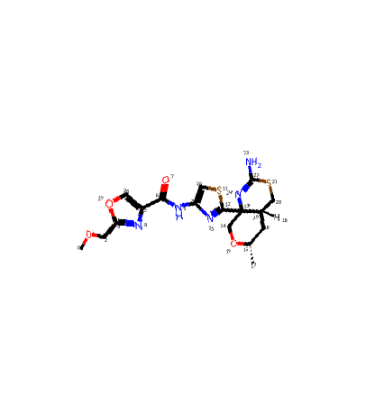 COCc1nc(C(=O)Nc2csc(C34CO[C@@H](C)C[C@H]3CSC(N)=N4)n2)co1